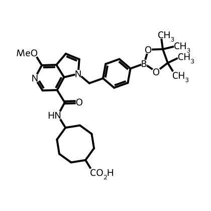 COc1ncc(C(=O)NC2CCCC(C(=O)O)CCC2)c2c1ccn2Cc1ccc(B2OC(C)(C)C(C)(C)O2)cc1